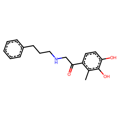 Cc1c(C(=O)CNCCCc2ccccc2)ccc(O)c1O